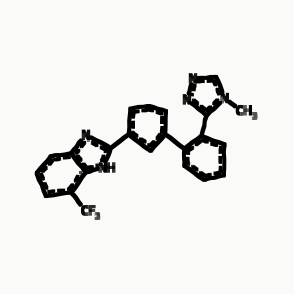 Cn1cnnc1-c1ccccc1-c1cccc(-c2nc3cccc(C(F)(F)F)c3[nH]2)c1